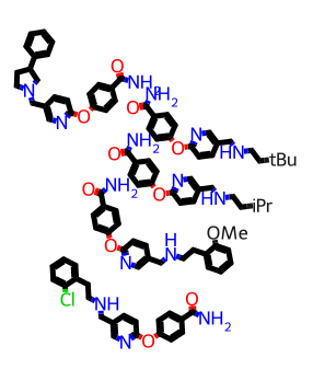 CC(C)(C)CCNCc1ccc(Oc2ccc(C(N)=O)cc2)nc1.CC(C)CCNCc1ccc(Oc2ccc(C(N)=O)cc2)nc1.COc1ccccc1CCNCc1ccc(Oc2ccc(C(N)=O)cc2)nc1.NC(=O)c1ccc(Oc2ccc(CN3CCC(c4ccccc4)C3)cn2)cc1.NC(=O)c1ccc(Oc2ccc(CNCCc3ccccc3Cl)cn2)cc1